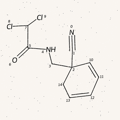 N#CC1(CNC(=O)C(Cl)Cl)C=CC=CC1